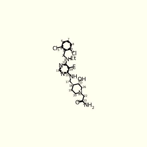 CCN(Cc1c(Cl)cccc1Cl)c1ncnc(NC[C@@H]2CCN(CC(N)=O)C[C@H]2O)c1F